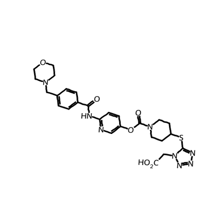 O=C(O)Cn1nnnc1SC1CCN(C(=O)Oc2ccc(NC(=O)c3ccc(CN4CCOCC4)cc3)nc2)CC1